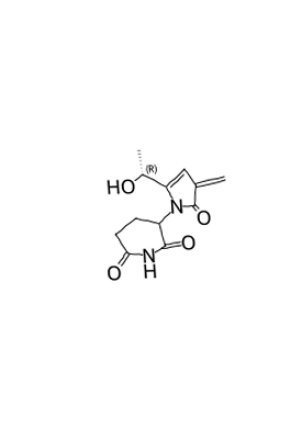 C=C1C=C([C@@H](C)O)N(C2CCC(=O)NC2=O)C1=O